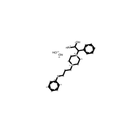 CCCC(O)C(c1ccccc1)N1CCN(CCCSc2ccccc2)CC1.Cl.Cl